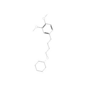 COc1ccc(CCCCO[C@H]2[CH]CCCC2)cc1OC